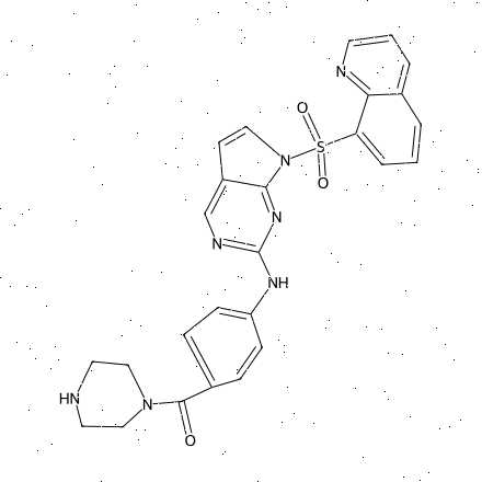 O=C(c1ccc(Nc2ncc3ccn(S(=O)(=O)c4cccc5cccnc45)c3n2)cc1)N1CCNCC1